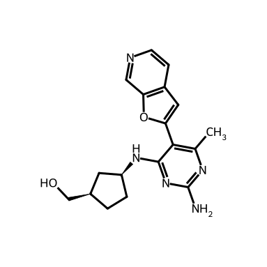 Cc1nc(N)nc(N[C@H]2CC[C@@H](CO)C2)c1-c1cc2ccncc2o1